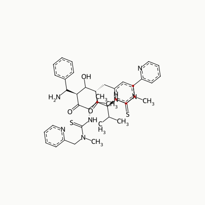 CC(C)[C@H](NC(=S)N(C)Cc1ccccn1)C(=O)[C@@H](C(N)c1ccccc1)C(O)[C@H](Cc1ccccc1)C(=O)[C@@H](NC(=S)N(C)Cc1ccccn1)C(C)C